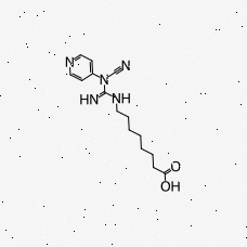 N#CN(C(=N)NCCCCCCCC(=O)O)c1ccncc1